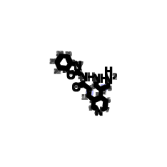 N=C/C(=C\N)c1ccncc1/C=C/C(=O)Nc1nc2ccccc2o1